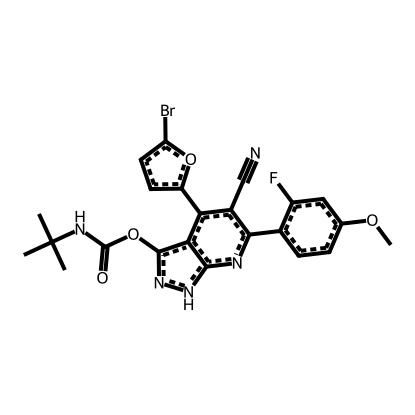 COc1ccc(-c2nc3[nH]nc(OC(=O)NC(C)(C)C)c3c(-c3ccc(Br)o3)c2C#N)c(F)c1